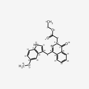 CCOC(=O)Cn1nc(Cc2c[nH]c3ccc(OC)cc23)c2ccccc2c1=O